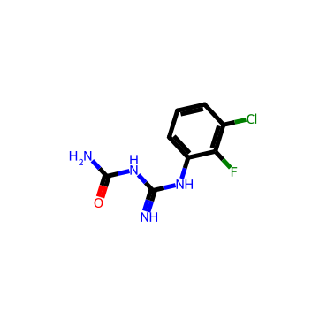 N=C(NC(N)=O)Nc1cccc(Cl)c1F